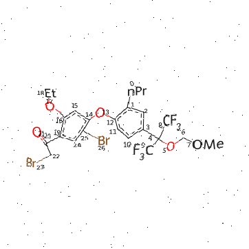 CCCc1cc(C(OCOC)(C(F)(F)F)C(F)(F)F)ccc1Oc1cc(OCC)c(C(=O)CBr)cc1Br